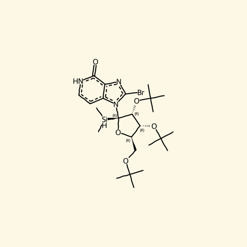 C[SiH](C)[C@]1(n2c(Br)nc3c(=O)[nH]ccc32)O[C@H](COC(C)(C)C)[C@@H](OC(C)(C)C)[C@H]1OC(C)(C)C